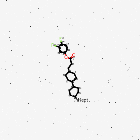 CCCCCCCC1CCC(C2CCC(CCC(=O)Oc3ccc(F)c(F)c3)CC2)CC1